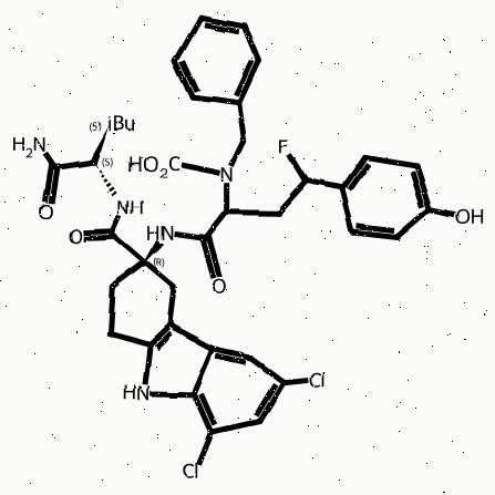 CC[C@H](C)[C@H](NC(=O)[C@@]1(NC(=O)C(CC(F)c2ccc(O)cc2)N(Cc2ccccc2)C(=O)O)CCc2[nH]c3c(Cl)cc(Cl)cc3c2C1)C(N)=O